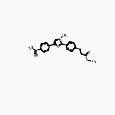 COC(=O)CCc1ccc(-c2nc(-c3ccc(C(=N)N)cc3)cn2C)cc1